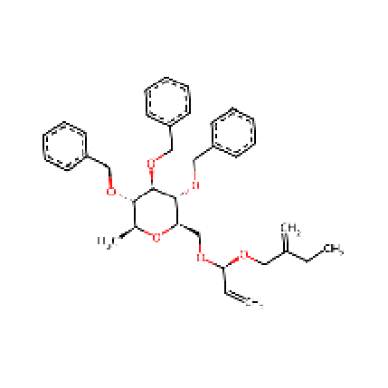 C=C[C@H](OCC(=C)CC)OC[C@H]1O[C@@H](C)[C@H](OCc2ccccc2)[C@@H](OCc2ccccc2)[C@@H]1OCc1ccccc1